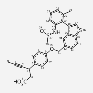 CC#CC(CC(=O)O)c1ccc(OCc2ccc3scc(-c4c(C)cccc4N[S+](C)[O-])c3c2)cc1